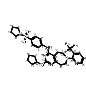 O=S(=O)(c1ccc(Nc2nc(OC3CCCC3)nc3c2CCN(c2ncccc2C(F)(F)F)CC3)cc1)N1CCCC1